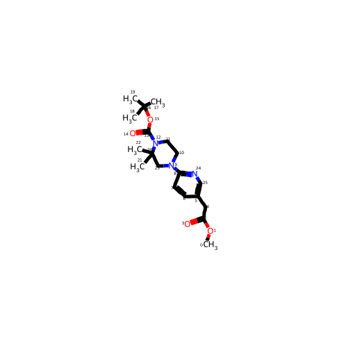 COC(=O)Cc1ccc(N2CCN(C(=O)OC(C)(C)C)C(C)(C)C2)nc1